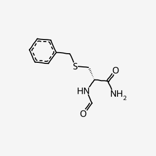 NC(=O)[C@@H](CSCc1ccccc1)NC=O